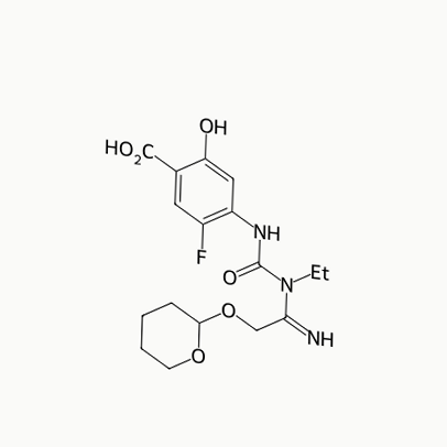 CCN(C(=N)COC1CCCCO1)C(=O)Nc1cc(O)c(C(=O)O)cc1F